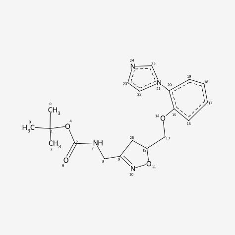 CC(C)(C)OC(=O)NCC1=NOC(COc2ccccc2-n2ccnc2)C1